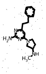 CNC1CCN(c2cc(CCc3ccccc3)nc(N)n2)C1